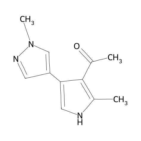 CC(=O)c1c(-c2cnn(C)c2)c[nH]c1C